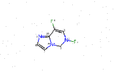 FC1=CN(F)C[N+]2C=[C]N=C12